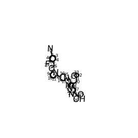 N#Cc1ccc(COc2cccc(C3CCN(Cc4nn5cnc(C(=O)O)cc5c4CC4CCO4)CC3)n2)c(F)c1